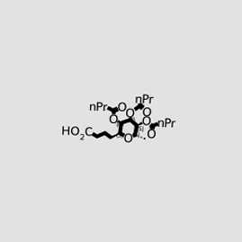 CCCC(=O)O[C@@H]1[C@@H](OC(=O)CCC)[C@H](C)O[C@@H](CCCC(=O)O)[C@H]1OC(=O)CCC